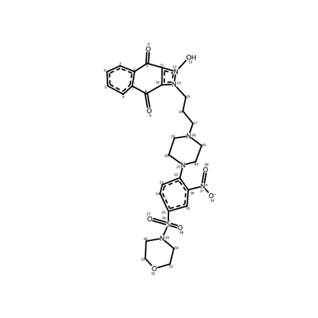 O=C1c2ccccc2C(=O)c2c1n(O)n2CCCN1CCN(c2ccc(S(=O)(=O)N3CCOCC3)cc2[N+](=O)[O-])CC1